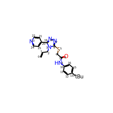 C=CCn1c(SCC(=O)Nc2ccc(C(C)(C)C)cc2)nnc1-c1ccncc1